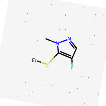 CCSc1c(F)[c]nn1C